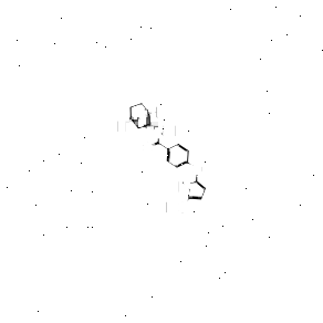 Cc1ccc(Oc2ccc(C(=O)N[C@@H]3C[C@H]4CC[C@@H]3N4)cc2)[nH]1